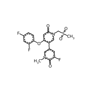 Cn1cc(-c2cn(CS(C)(=O)=O)c(=O)cc2Oc2ccc(F)cc2F)cc(F)c1=O